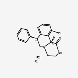 Cl.Cl.O=C1NCCN2C[C@@H](c3ccccc3)c3cccc(Cl)c3[C@H]12